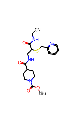 CC(C)(C)OC(=O)N1CCC(C(=O)NCC(SCc2ccccn2)C(=O)NCC#N)CC1